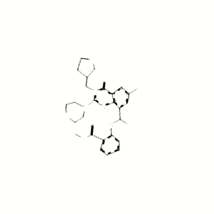 COC(=O)c1ccccc1NC(C)c1cc(C)cc2c(=O)n(CC3CCOC3)c(N3CCOCC3)nc12